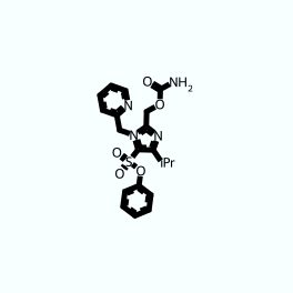 CC(C)c1nc(COC(N)=O)n(Cc2ccccn2)c1S(=O)(=O)Oc1ccccc1